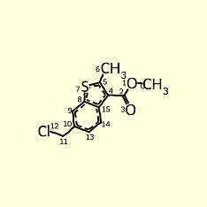 COC(=O)c1c(C)sc2cc(CCl)ccc12